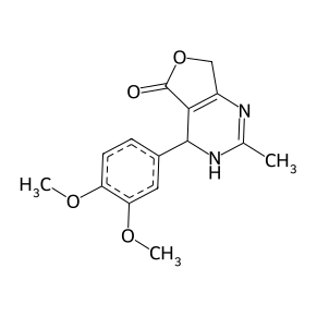 COc1ccc(C2NC(C)=NC3=C2C(=O)OC3)cc1OC